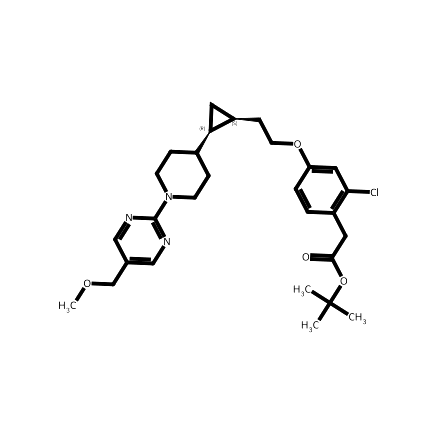 COCc1cnc(N2CCC([C@H]3C[C@H]3CCOc3ccc(CC(=O)OC(C)(C)C)c(Cl)c3)CC2)nc1